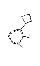 Fc1c(Cl)ccnc1C1CCC1